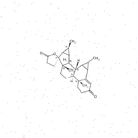 CC1C2C3=CC(=O)CC[C@]3(C)[C@H]3CC[C@@]4(C)[C@@H](C5C([C@H]5C)[C@@]45CCC(=O)O5)[C@@H]3C12